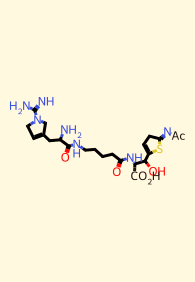 CC(=O)N=C1CC=C(C(O)C(NC(=O)CCCCNC(=O)C(N)CC2=CCN(C(=N)N)C2)C(=O)O)S1